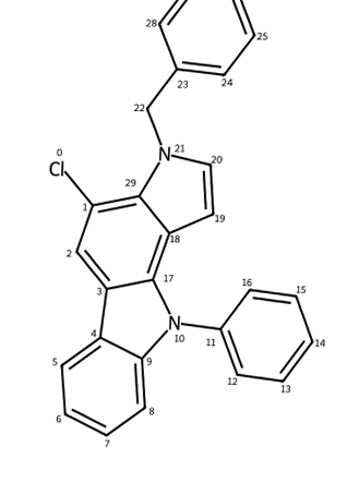 Clc1cc2c3ccccc3n(-c3ccccc3)c2c2ccn(Cc3ccccc3)c12